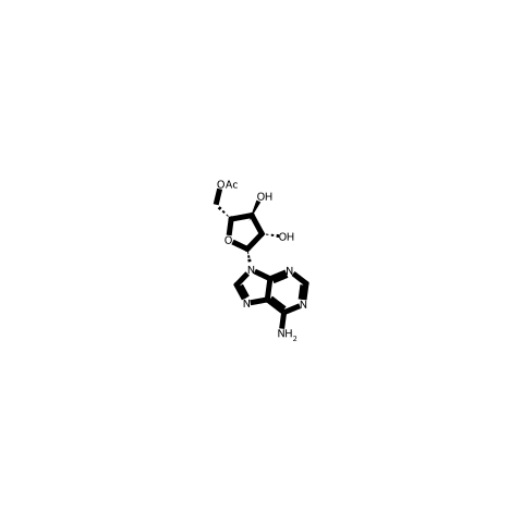 CC(=O)OC[C@H]1O[C@@H](n2cnc3c(N)ncnc32)[C@@H](O)[C@@H]1O